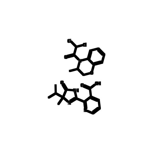 CC(C)C1(C)N=C(c2ncccc2C(=O)O)NC1=O.CC1COc2ccccc2N1C(=O)C(Cl)Cl